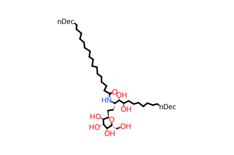 CCCCCCCCCCCCCCCCCCCCCCCCCCC(=O)N[C@@H](CC[C@H]1O[C@H](CO)[C@H](O)[C@H](O)[C@H]1O)[C@H](O)[C@H](O)CCCCCCCCCCCCCCCCC